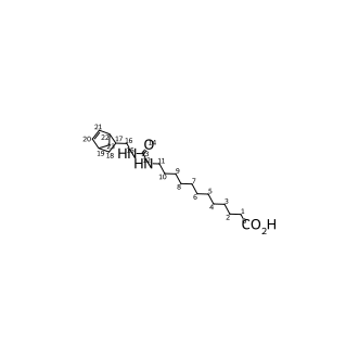 O=C(O)CCCCCCCCCCCNC(=O)NCC1CC2C=CC1C2